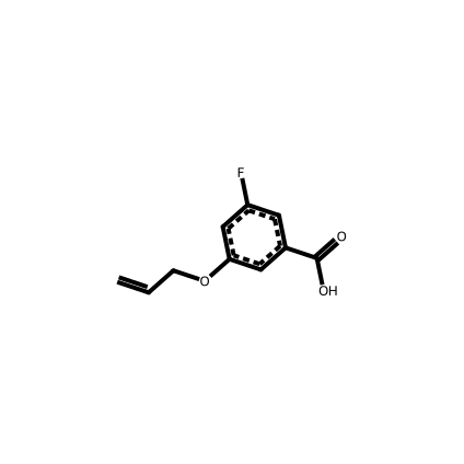 C=CCOc1cc(F)cc(C(=O)O)c1